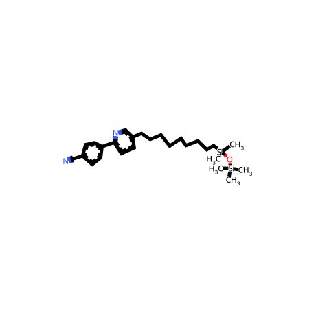 C[Si](C)(C)O[Si](C)(C)CCCCCCCCCc1ccc(-c2ccc(C#N)cc2)nc1